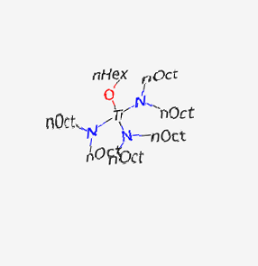 CCCCCCCC[N](CCCCCCCC)[Ti]([O]CCCCCC)([N](CCCCCCCC)CCCCCCCC)[N](CCCCCCCC)CCCCCCCC